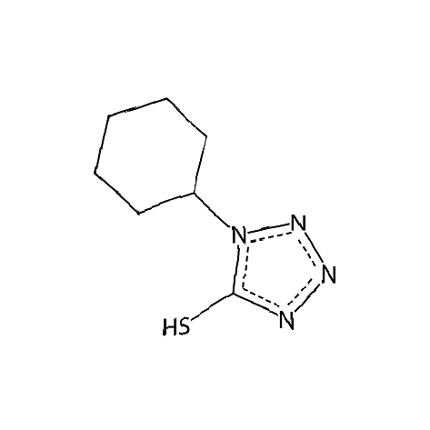 Sc1nnnn1C1CCCCC1